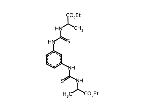 CCOC(=O)C(C)NC(=S)Nc1cccc(NC(=S)NC(C)C(=O)OCC)c1